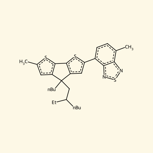 CCCCC(CC)CC1(CCCC)c2cc(C)sc2-c2sc(-c3ccc(C)c4nsnc34)cc21